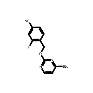 CC(C)(C)c1ccnc(OCc2ccc(C#N)cc2F)n1